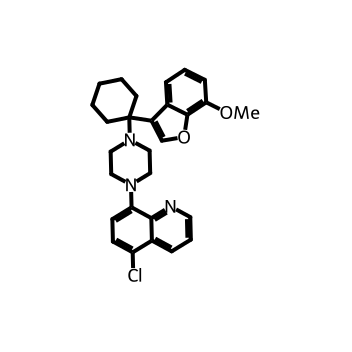 COc1cccc2c(C3(N4CCN(c5ccc(Cl)c6cccnc56)CC4)CCCCC3)coc12